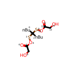 CCCCC(CCCC)(SOC(=O)CO)SOC(=O)CO